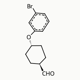 O=C[C@H]1CC[C@H](Oc2cccc(Br)c2)CC1